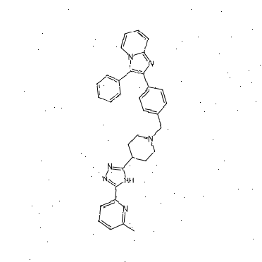 Cc1cccc(-c2nnc(C3CCN(Cc4ccc(-c5nc6ccccn6c5-c5ccccc5)cc4)CC3)[nH]2)n1